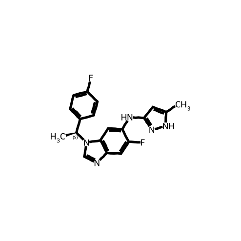 Cc1cc(Nc2cc3c(cc2F)ncn3[C@@H](C)c2ccc(F)cc2)n[nH]1